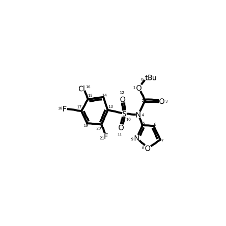 CC(C)(C)OC(=O)N(c1ccon1)S(=O)(=O)c1cc(Cl)c(F)cc1F